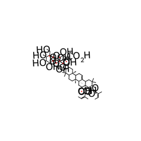 C/C=C(/C)C(=O)O[C@H]1[C@H](OC(=O)/C(C)=C\C)[C@@]2(CO)C(CC1(C)C)C1=CCC3[C@@]4(C)CC[C@H](O[C@@H]5OC(C(=O)O)[C@@H](O)[C@@H](OC(C)O[C@@H](CO)[C@@H](O)CO)C5O[C@@H]5OC(CO)[C@H](O)[C@@H](O)C5O)C(C)(C)C4CC[C@@]3(C)[C@]1(C)C[C@H]2O